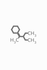 CC[C](CC)C(C)=C1CCCCC1